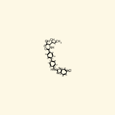 CC[C@H](C)[C@H](NC(=O)c1ccc(-c2ccc(Nc3nc4ccc(Cl)cc4s3)cc2)cc1)C(=O)O